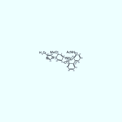 COC1C=C(NS(=O)(=O)c2ccccc2-c2cccc(NC(C)=O)c2)C=CC1n1cnc(C)c1